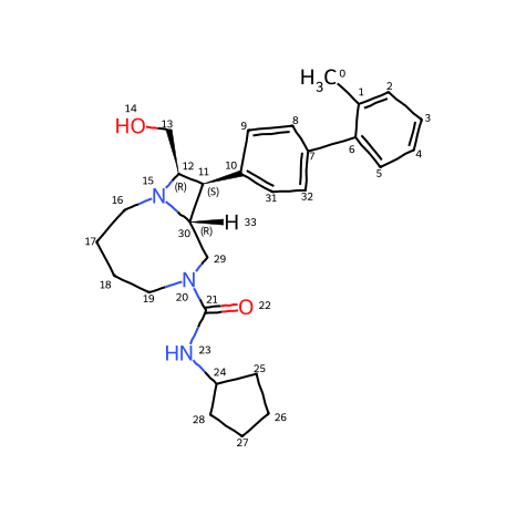 Cc1ccccc1-c1ccc([C@@H]2[C@H](CO)N3CCCCN(C(=O)NC4CCCC4)C[C@@H]23)cc1